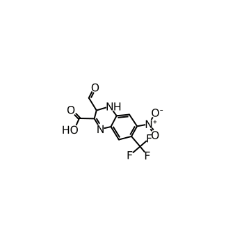 O=CC1Nc2cc([N+](=O)[O-])c(C(F)(F)F)cc2N=C1C(=O)O